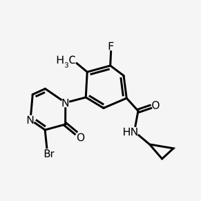 Cc1c(F)cc(C(=O)NC2CC2)cc1-n1ccnc(Br)c1=O